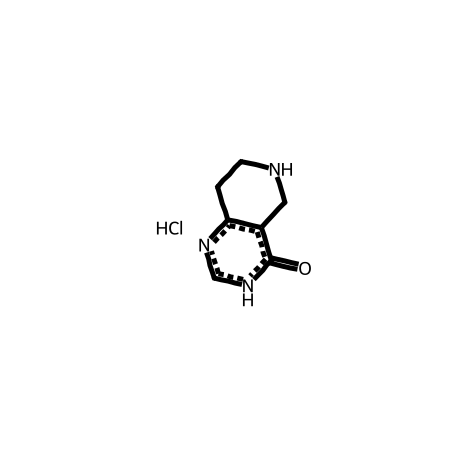 Cl.O=c1[nH]cnc2c1CNCC2